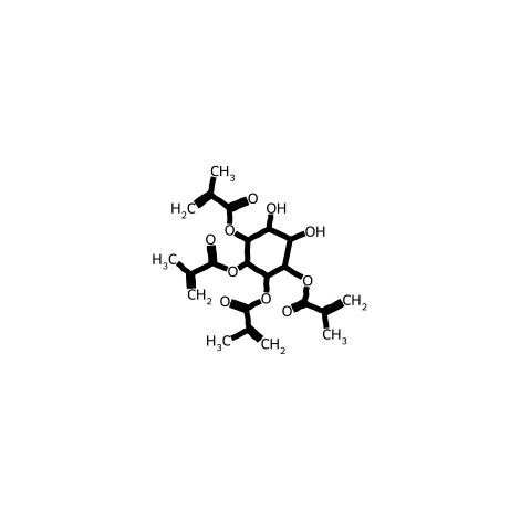 C=C(C)C(=O)OC1C(O)C(O)C(OC(=O)C(=C)C)C(OC(=O)C(=C)C)C1OC(=O)C(=C)C